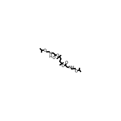 CC(C)OCCNCC(=O)OC(C)(C)CCC(C)(C)OC(=O)CNCCOC(C)C